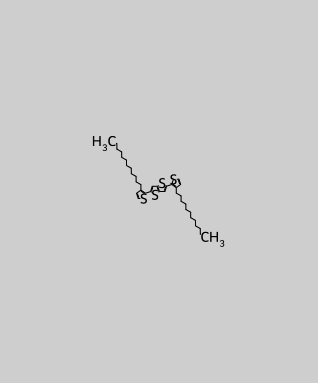 CCCCCCCCCCCCc1ccsc1-c1cc2sc(-c3sccc3CCCCCCCCCCCC)cc2s1